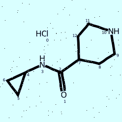 Cl.O=C(NC1CC1)C1CCNCC1